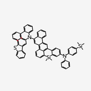 C[Si](C)(C)c1ccc(N(c2ccccc2)c2ccc3c(c2)[Si](C)(C)c2cccc4c2c-3cc2c3ccccc3c(N(c3ccc5sc6ccccc6c5c3)c3ccccc3-c3ccccc3)cc42)cc1